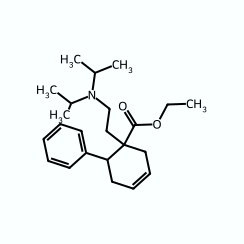 CCOC(=O)C1(CCN(C(C)C)C(C)C)CC=CCC1c1ccccc1